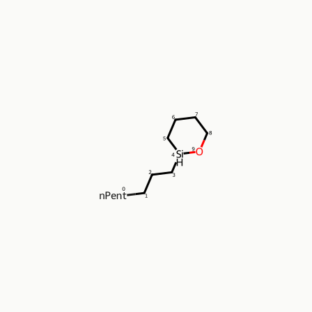 CCCCCCCC[SiH]1CCCCO1